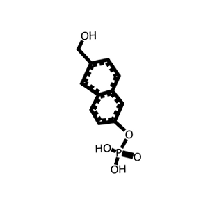 O=P(O)(O)Oc1ccc2cc(CO)ccc2c1